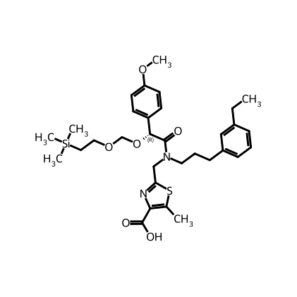 CCc1cccc(CCCN(Cc2nc(C(=O)O)c(C)s2)C(=O)[C@H](OCOCC[Si](C)(C)C)c2ccc(OC)cc2)c1